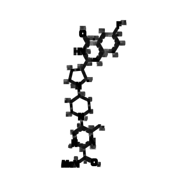 CNC(=O)c1ncc(N2CCC(N3CCC(c4cc5ccc(F)cc5c(=O)[nH]4)C3)CC2)c(C)n1